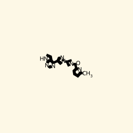 Cc1cccc(C(=O)N2CC(n3cc(-c4ncnc5[nH]ccc45)cn3)C2)n1